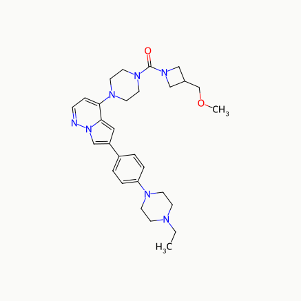 CCN1CCN(c2ccc(-c3cc4c(N5CCN(C(=O)N6CC(COC)C6)CC5)ccnn4c3)cc2)CC1